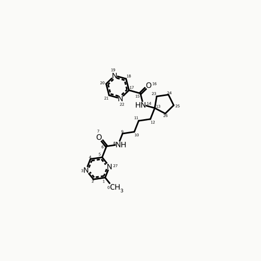 Cc1cncc(C(=O)NCCCCC2(NC(=O)c3cnccn3)CCCC2)n1